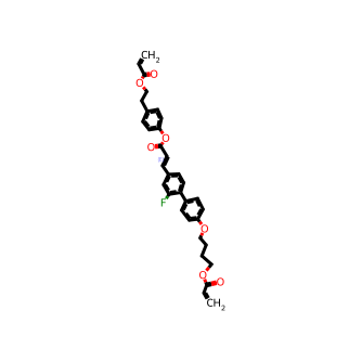 C=CC(=O)OCCCCOc1ccc(-c2ccc(/C=C/C(=O)Oc3ccc(CCOC(=O)C=C)cc3)cc2F)cc1